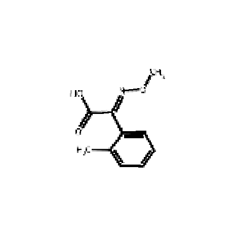 CO/N=C(/C(=O)O)c1ccccc1C